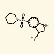 CC1CNc2ccc(S(=O)(=O)N3CCCCC3)cc21